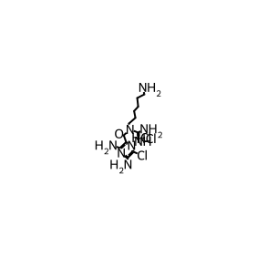 Cl.Cl.N=C(N)N(CCCCCCN)C(=O)c1nc(Cl)c(N)nc1N